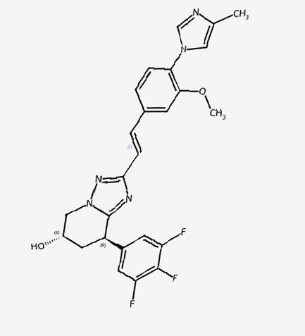 COc1cc(/C=C/c2nc3n(n2)C[C@@H](O)C[C@@H]3c2cc(F)c(F)c(F)c2)ccc1-n1cnc(C)c1